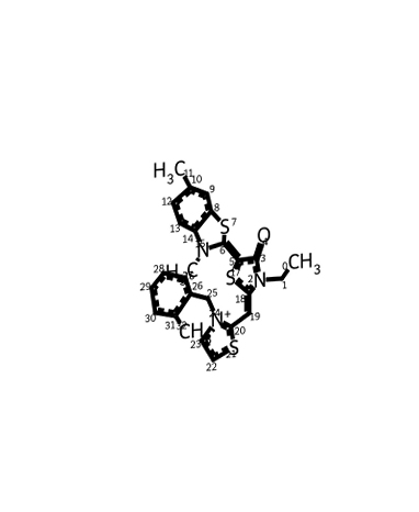 CCn1c(=O)/c(=C2\Sc3cc(C)ccc3N2C)s/c1=C\c1scc[n+]1Cc1ccccc1C